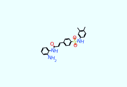 Cc1ccc(NS(=O)(=O)c2ccc(/C=C/C(=O)Nc3ccccc3N)cc2)cc1C